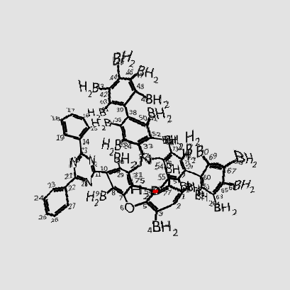 Bc1cc(B)c2oc3c(B)c(-c4nc(-c5ccccc5)nc(-c5ccccc5)n4)c(B)c(N(c4c(B)c(B)c(-c5c(B)c(B)c(B)c(B)c5B)c(B)c4B)c4c(B)c(B)c(-c5c(B)c(B)c(B)c(B)c5B)c(B)c4B)c3c2c1B